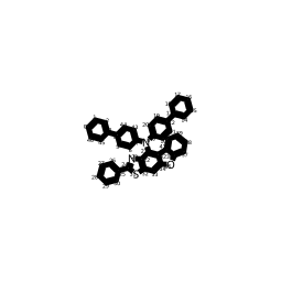 c1ccc(-c2ccc(N(c3ccc(-c4ccccc4)cc3)c3c4nc(-c5ccccc5)sc4cc4oc5ccccc5c34)cc2)cc1